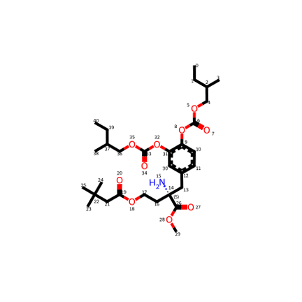 CCC(C)COC(=O)Oc1ccc(C[C@](N)(CCOC(=O)CC(C)(C)C)C(=O)OC)cc1OC(=O)OCC(C)CC